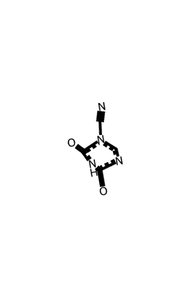 N#Cn1cnc(=O)[nH]c1=O